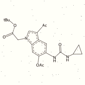 CC(=O)Oc1cc2c(cc1NC(=O)NC1CC1)c(C(C)=O)cn2CC(=O)OC(C)(C)C